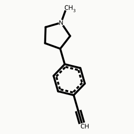 C#Cc1ccc(C2CCN(C)C2)cc1